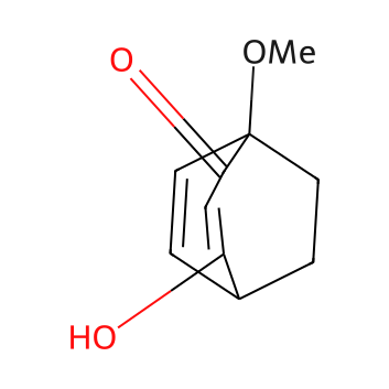 COC12C=CC(CC1)C(O)=CC2=O